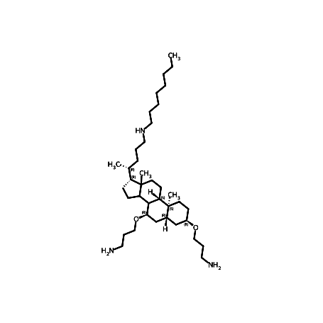 CCCCCCCCNCCC[C@@H](C)[C@H]1CCC2C3[C@H](OCCCN)C[C@H]4C[C@H](OCCCN)CC[C@]4(C)[C@H]3CCC21C